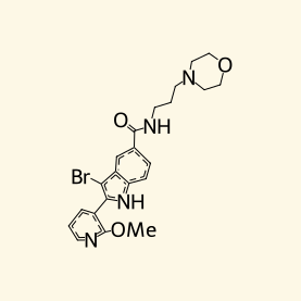 COc1ncccc1-c1[nH]c2ccc(C(=O)NCCCN3CCOCC3)cc2c1Br